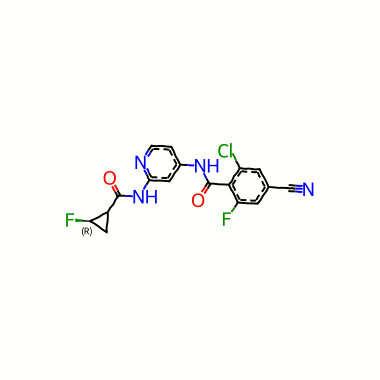 N#Cc1cc(F)c(C(=O)Nc2ccnc(NC(=O)C3C[C@H]3F)c2)c(Cl)c1